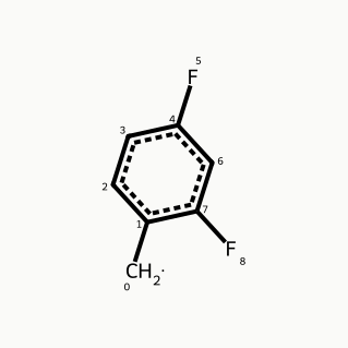 [CH2]c1ccc(F)cc1F